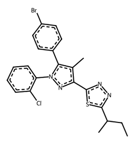 CCC(C)c1nnc(-c2nn(-c3ccccc3Cl)c(-c3ccc(Br)cc3)c2C)s1